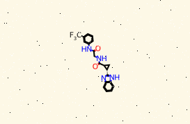 O=C(CNC(=O)C1C[C@@H]1c1nc2ccccc2[nH]1)Nc1cccc(C(F)(F)F)c1